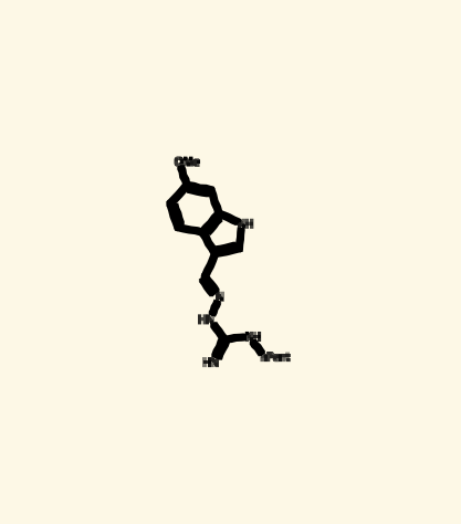 CCCCCNC(=N)NN=Cc1c[nH]c2cc(OC)ccc12